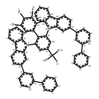 Fc1c(F)c(F)c(-c2c(-n3c4ccccc4c4ccc(-c5ccnc(-c6ccccc6)c5)cc43)cc(C(F)(F)F)cc2-n2c3ccccc3c3ccc(-c4ccnc(-c5ccccc5)c4)cc32)c(F)c1F